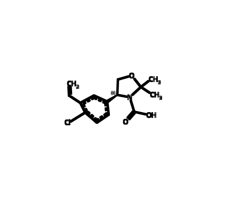 C=Cc1cc([C@H]2COC(C)(C)N2C(=O)O)ccc1Cl